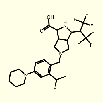 O=C(O)C1NC(C(C(F)(F)F)C(F)(F)F)C2CN(Cc3ccc(N4CCCCC4)cc3C(F)F)CC12